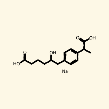 CC(C(=O)O)c1ccc(CC(O)CCCC(=O)O)cc1.[Na]